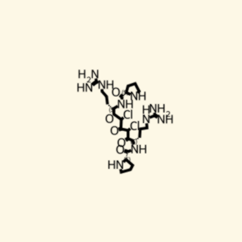 N=C(N)NCCC[C@H](NC(=O)[C@@H]1CCCN1)C(=O)C(Cl)C(=O)C(Cl)C(=O)[C@H](CCCNC(=N)N)NC(=O)[C@@H]1CCCN1